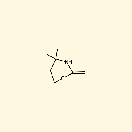 C=C1CCCC(C)(C)N1